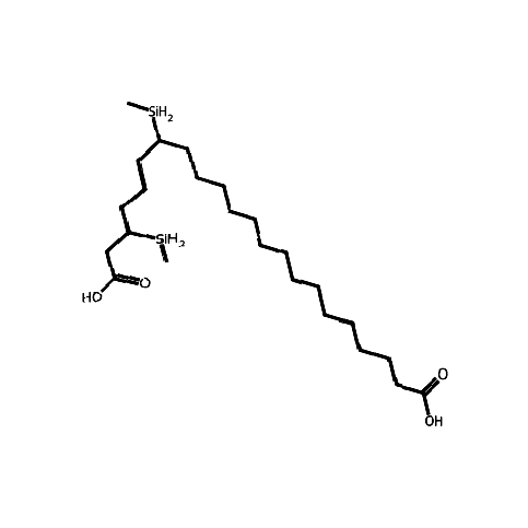 C[SiH2]C(CCCCCCCCCCCCCCC(=O)O)CCCC(CC(=O)O)[SiH2]C